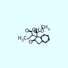 CCC(C(=O)O)C1(C(=O)OC)C(=O)Cc2ccccc21